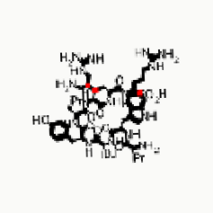 CC[C@H](C)[C@H](NC(=O)[C@H](Cc1c[nH]c2ccccc12)NC(=O)[C@@H](N)C(C)C)C(=O)N[C@@H](Cc1ccc(O)cc1)C(=O)N[C@@H](CC(C)C)C(=O)N[C@@H](CCCNC(=N)N)C(=O)N[C@@H](CCCCN)C(=O)N[C@@H](CCCNC(=N)N)C(=O)O